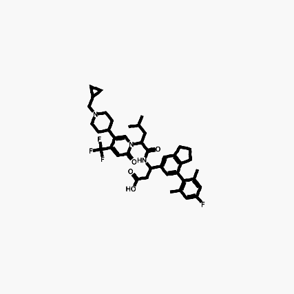 Cc1cc(F)cc(C)c1-c1cc(C(CC(=O)O)NC(=O)C(CC(C)C)n2cc(C3CCN(CC4CC4)CC3)c(C(F)(F)F)cc2=O)cc2c1CCC2